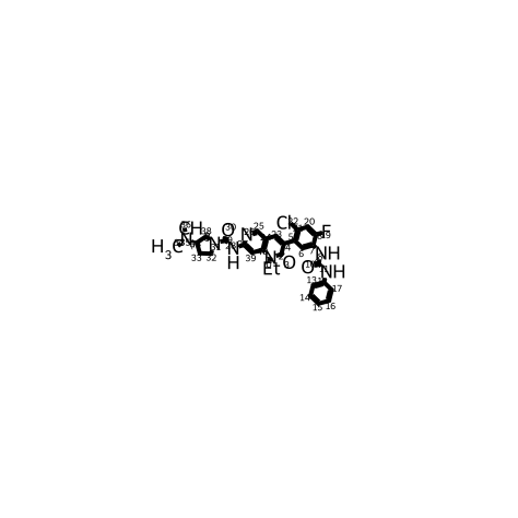 CCn1c(=O)c(-c2cc(NC(=O)Nc3ccccc3)c(F)cc2Cl)cc2cnc(NC(=O)N3CC[C@@H](N(C)C)C3)cc21